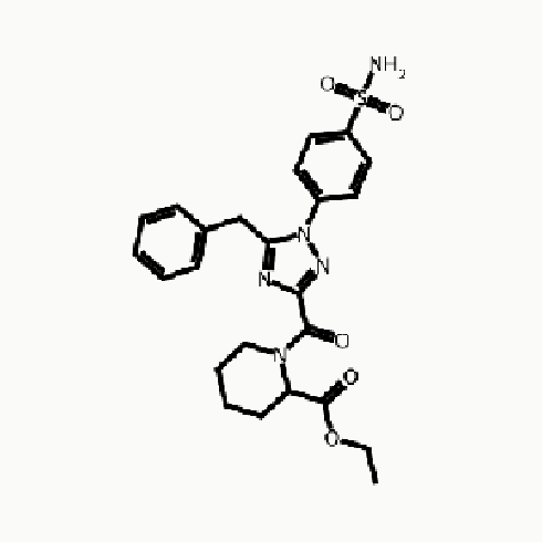 CCOC(=O)C1CCCCN1C(=O)c1nc(Cc2ccccc2)n(-c2ccc(S(N)(=O)=O)cc2)n1